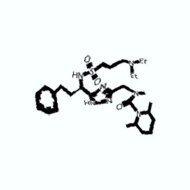 CCN(CC)CCCS(=O)(=O)N[C@H](CCc1ccccc1)c1nc(CN(C)C(=O)N2C(C)CCCC2C)n[nH]1